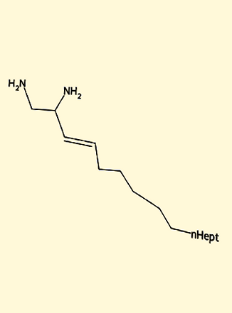 CCCCCCCCCCCCC=CC(N)CN